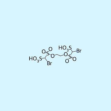 O=S(=O)(O)C(Br)S(=O)(=O)OCCOS(=O)(=O)C(Br)S(=O)(=O)O